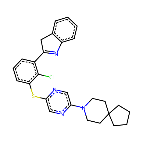 Clc1c(Sc2cnc(N3CCC4(CCCC4)CC3)cn2)cccc1C1=Nc2ccccc2C1